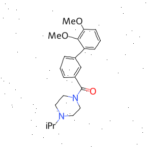 COc1cccc(-c2cccc(C(=O)N3CCN(C(C)C)CC3)c2)c1OC